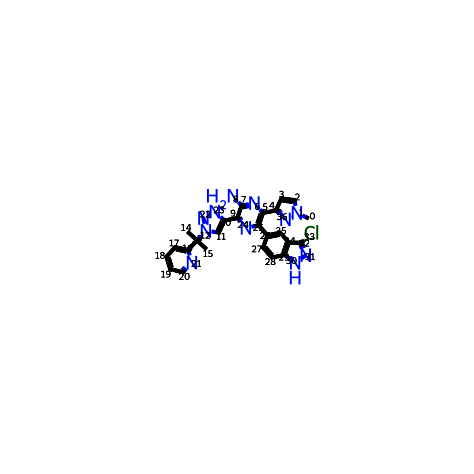 Cn1ccc(-c2nc(N)c(-c3cn(C(C)(C)c4ccccn4)nn3)nc2-c2ccc3[nH]nc(Cl)c3c2)n1